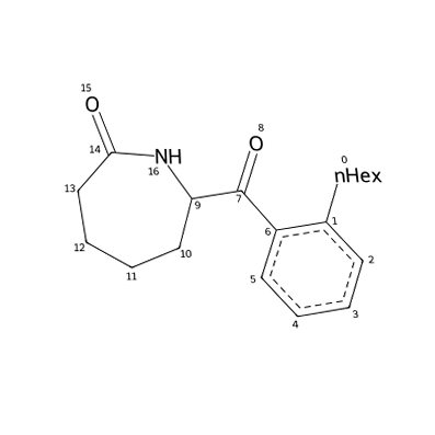 CCCCCCc1ccccc1C(=O)C1CCCCC(=O)N1